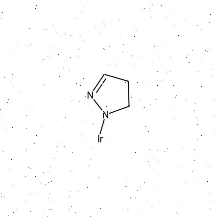 [Ir][N]1CCC=N1